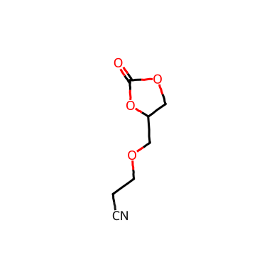 N#CCCOCC1COC(=O)O1